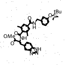 COC(=O)C(=Cc1ccc2[nH]nnc2c1)NC(=O)c1c(C)cc(C(=O)NCc2cccc(O[Si](C)(C)C(C)(C)C)c2)cc1C